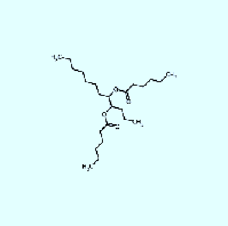 CCCCCCCC(OC(=O)CCCCC)C(CCC)OC(=O)CCCCC